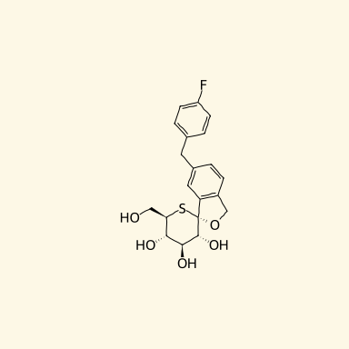 OC[C@H]1S[C@]2(OCc3ccc(Cc4ccc(F)cc4)cc32)[C@H](O)[C@@H](O)[C@@H]1O